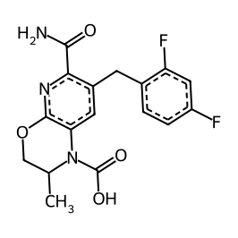 CC1COc2nc(C(N)=O)c(Cc3ccc(F)cc3F)cc2N1C(=O)O